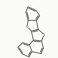 c1ccc2c(c1)ccc1sc3c4ccccc4oc3c12